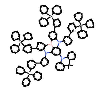 CC1(C)c2ccccc2N(c2cc3c4c(c2)N(c2cccc(-c5cccc([Si](c6ccccc6)(c6ccccc6)c6ccccc6)c5)c2)c2cc(-c5cccc([Si](c6ccccc6)(c6ccccc6)c6ccccc6)c5)ccc2B4c2ccc(-c4cccc([Si](c5ccccc5)(c5ccccc5)c5ccccc5)c4)cc2N3c2cccc(-c3cccc([Si](c4ccccc4)(c4ccccc4)c4ccccc4)c3)c2)c2ccccc21